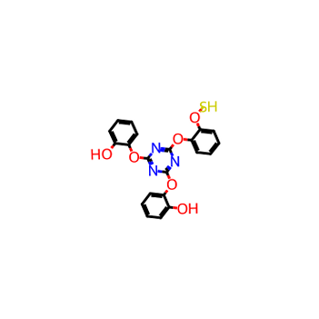 Oc1ccccc1Oc1nc(Oc2ccccc2O)nc(Oc2ccccc2OS)n1